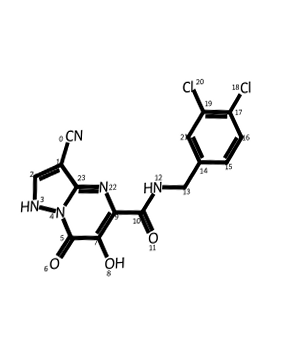 N#Cc1c[nH]n2c(=O)c(O)c(C(=O)NCc3ccc(Cl)c(Cl)c3)nc12